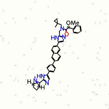 CO[C@@H](C(=O)N(Cc1ncc(-c2ccc3cc(-c4ccc(-c5cnc(C6[C@H]7CC[C@H](C7)N6C)[nH]5)cc4)ccc3c2)[nH]1)CC1(C)CC1)c1ccccc1